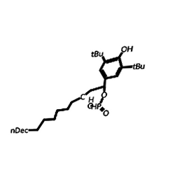 CCCCCCCCCCCCCCCCCCC(O[PH](=O)O)c1cc(C(C)(C)C)c(O)c(C(C)(C)C)c1